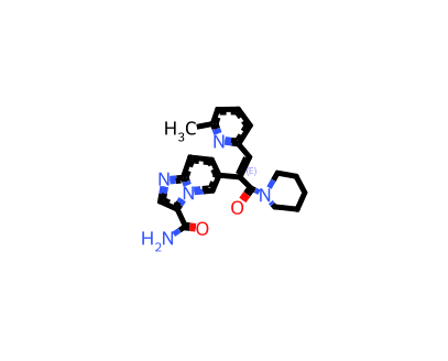 Cc1cccc(/C=C(/C(=O)N2CCCCC2)c2ccc3ncc(C(N)=O)n3c2)n1